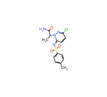 Cc1ccc(S(=O)(=O)N=c2ccc(Cl)nn2C(C)C(N)=O)cc1